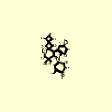 Cc1cc(-n2c3c(c4cc(F)ccc42)C2(CC4(CCC4)C2)OCC3(C)C)ccc1F